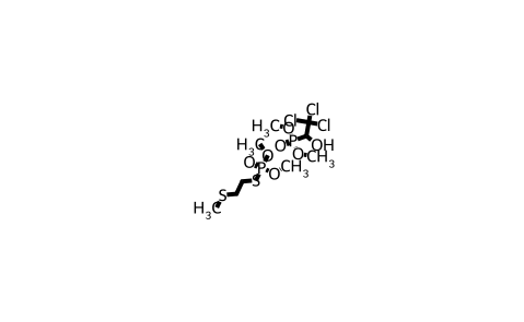 COP(=O)(OC)C(O)C(Cl)(Cl)Cl.COP(=O)(OC)SCCSC